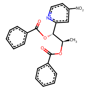 C[C@@H](OC(=O)c1ccccc1)[C@H](OC(=O)c1ccccc1)c1cc([N+](=O)[O-])ccn1